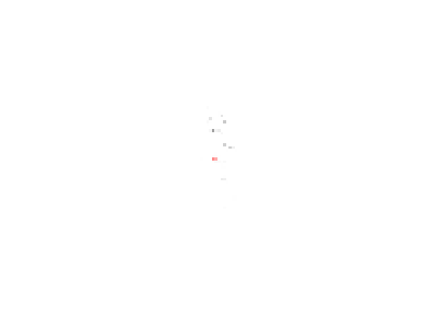 COCC12CN(C(=O)OC(C)(C)C)CCC1(c1ccc(Cl)cc1)C2